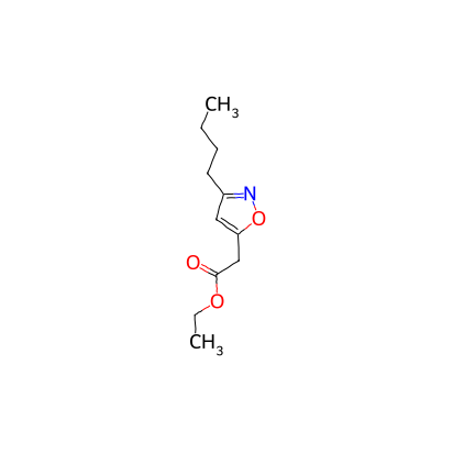 CCCCc1cc(CC(=O)OCC)on1